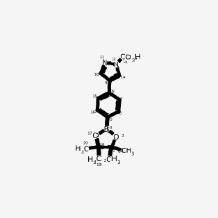 CC1(C)OB(c2ccc(-c3cnn(C(=O)O)c3)cc2)OC1(C)C